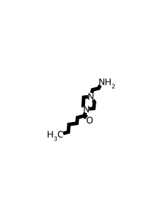 CCCCCC(=O)N1CCN(CCN)CC1